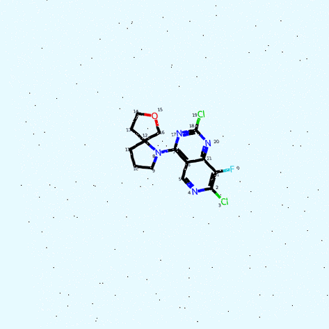 Fc1c(Cl)ncc2c(N3CCCC34CCOC4)nc(Cl)nc12